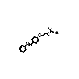 CCC(C)C(=O)OCCOc1ccc(N=Nc2ccccc2)cc1